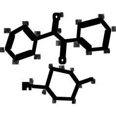 CC1CCC(C(C)C)CC1.O=C(C(=O)c1ccccc1)c1ccccc1